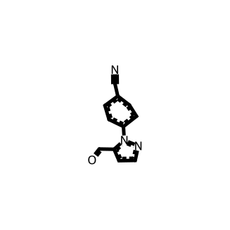 N#Cc1ccc(-n2nccc2C=O)cc1